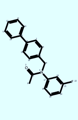 CC(=O)N(Cc1ccc(-c2ccccc2)cc1)c1cccc(F)c1